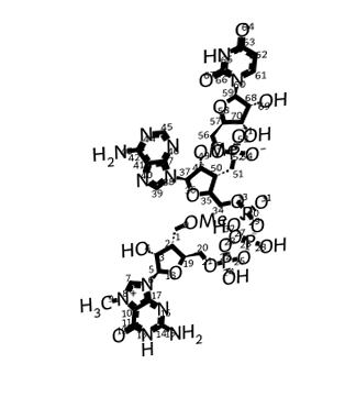 COC[C@H]1[C@@H](O)[C@H](n2c[n+](C)c3c(=O)[nH]c(N)nc32)O[C@@H]1COP(=O)(O)OP(=O)(O)OP(=O)(O)OCC1O[C@@H](n2cnc3c(N)ncnc32)[C@H](OC)[C@@H]1CP(=O)([O-])OC[C@H]1O[C@@H](n2ccc(=O)[nH]c2=O)[C@H](O)[C@@H]1O